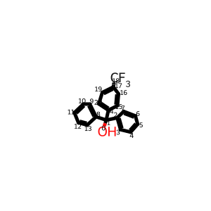 OC(c1ccccc1)(c1ccccc1)c1ccc(C(F)(F)F)cc1